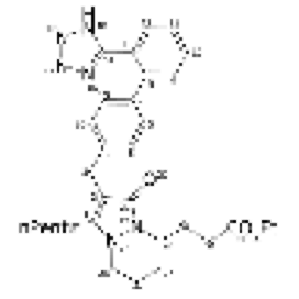 CCCCCc1c(Cc2ccc(-c3ccccc3-c3nnn[nH]3)cc2)c(=O)n2n1CCCC2CCC(=O)OCC